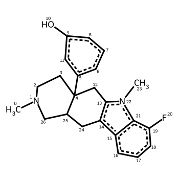 CN1CCC2(c3cccc(O)c3)Cc3c(c4cccc(F)c4n3C)CC2C1